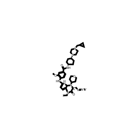 COc1cc(C(=O)N[C@H]2CC[C@H](N3CCN(CC4CC4)CC3)CC2)ccc1NC1=CC=C2C(N1)N(C1CCOCC1)[C@H](CN=[N+]=[N-])C(=O)N2CI